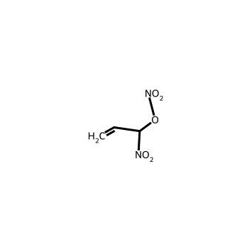 C=CC(O[N+](=O)[O-])[N+](=O)[O-]